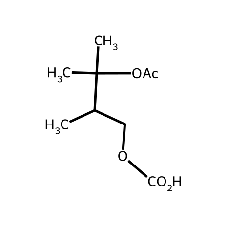 CC(=O)OC(C)(C)C(C)COC(=O)O